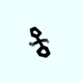 CC(C)(C1=CC=CC1)c1ccccc1